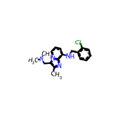 Cc1nc2c(NCc3ccccc3Cl)cccn2c1CN(C)C